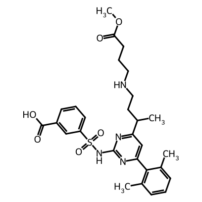 COC(=O)CCCNCCC(C)c1cc(-c2c(C)cccc2C)nc(NS(=O)(=O)c2cccc(C(=O)O)c2)n1